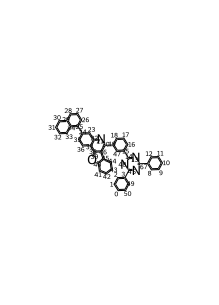 c1ccc(-c2nc(-c3ccccc3)nc(-c3cccc(-c4nc5cc(-c6cccc7ccccc67)ccc5c5oc6ccccc6c45)c3)n2)cc1